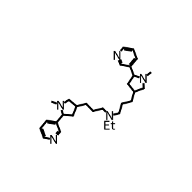 CCN(CCCC1CC(c2cccnc2)N(C)C1)CCCC1CC(c2cccnc2)N(C)C1